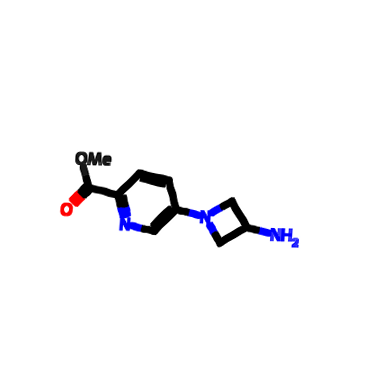 COC(=O)c1ccc(N2CC(N)C2)cn1